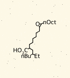 CCCCCCCCC1OC1CCCCCCC(CC(CC)CCCC)C(=O)O